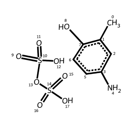 Cc1cc(N)ccc1O.O=S(=O)(O)OS(=O)(=O)O